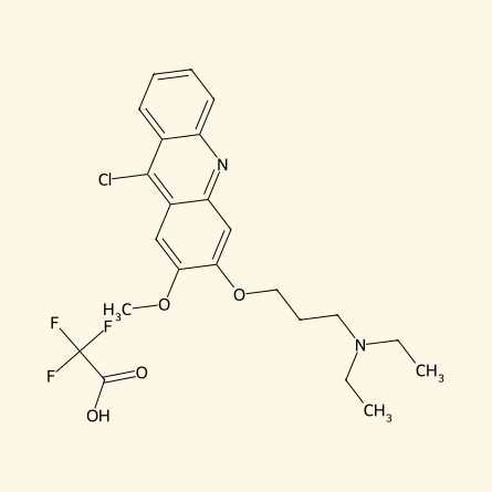 CCN(CC)CCCOc1cc2nc3ccccc3c(Cl)c2cc1OC.O=C(O)C(F)(F)F